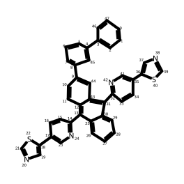 c1ccc(-c2cccc(-c3ccc4c(-c5ccc(-c6cncs6)cn5)c5ccccc5c(-c5ccc(-c6cncs6)cn5)c4c3)c2)cc1